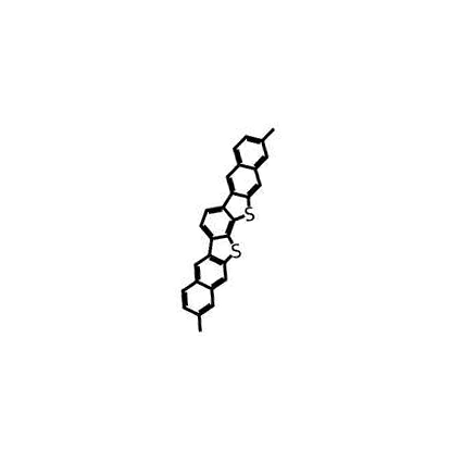 Cc1ccc2cc3c(cc2c1)sc1c3ccc2c3cc4ccc(C)cc4cc3sc21